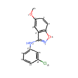 COc1ccc2onc(Nc3cccc(Cl)c3)c2c1